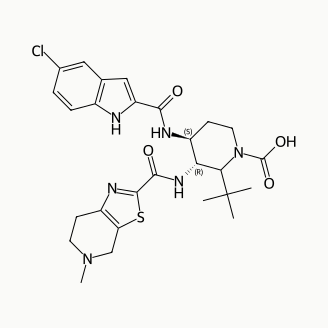 CN1CCc2nc(C(=O)N[C@H]3C(C(C)(C)C)N(C(=O)O)CC[C@@H]3NC(=O)c3cc4cc(Cl)ccc4[nH]3)sc2C1